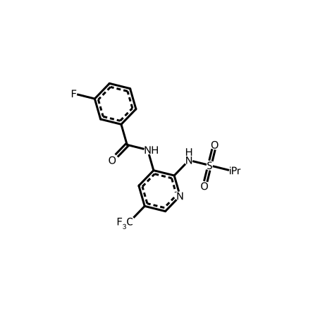 CC(C)S(=O)(=O)Nc1ncc(C(F)(F)F)cc1NC(=O)c1cccc(F)c1